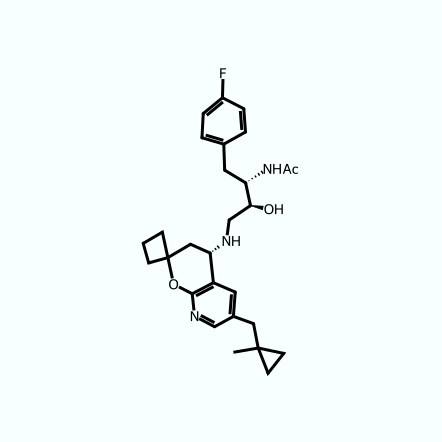 CC(=O)N[C@@H](Cc1ccc(F)cc1)[C@@H](O)CN[C@H]1CC2(CCC2)Oc2ncc(CC3(C)CC3)cc21